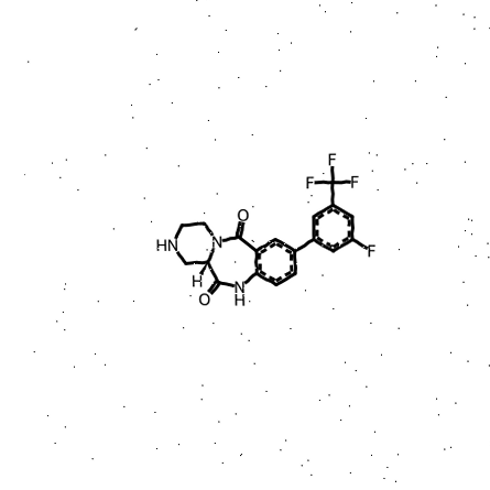 O=C1Nc2ccc(-c3cc(F)cc(C(F)(F)F)c3)cc2C(=O)N2CCNC[C@@H]12